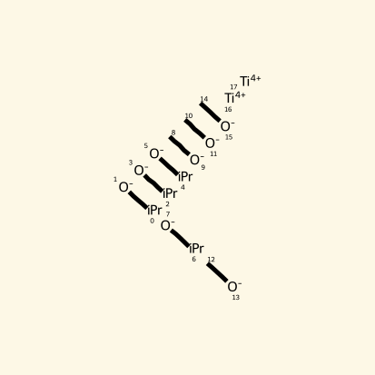 CC(C)[O-].CC(C)[O-].CC(C)[O-].CC(C)[O-].C[O-].C[O-].C[O-].C[O-].[Ti+4].[Ti+4]